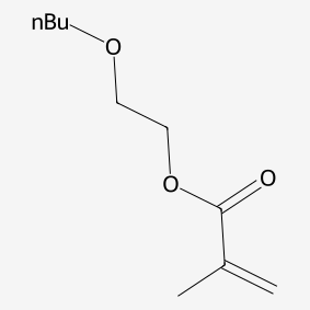 C=C(C)C(=O)OCCOCCCC